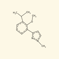 COc1c(-c2ccn(C)n2)cccc1C(C)C